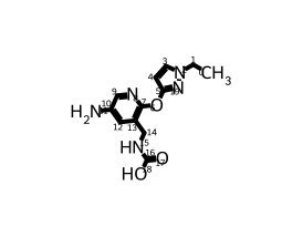 CCn1ccc(Oc2ncc(N)cc2CNC(=O)O)n1